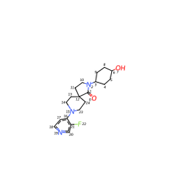 O=C1N(C2CCC(O)CC2)CCC12CCN(c1ccncc1F)CC2